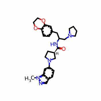 Cn1ncc2ccc(N3CC[C@@H](C(=O)NC(Cc4ccc5c(c4)OCCO5)CN4CCCC4)C3)cc21